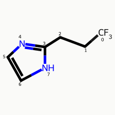 FC(F)(F)CCc1ncc[nH]1